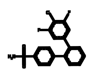 NS(=O)(=O)c1ccc(-c2ccccc2-c2cc(F)c(Cl)c(F)c2)cc1